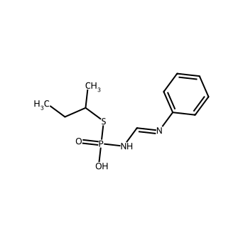 CCC(C)SP(=O)(O)NC=Nc1ccccc1